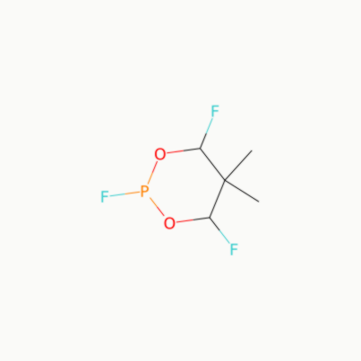 CC1(C)C(F)OP(F)OC1F